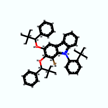 CC(C)(C)c1ccccc1-n1c2ccccc2c2cc(OC(c3ccccc3)C(C)(C)C)c(OC(c3ccccc3)C(C)(C)C)c(Br)c21